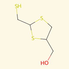 OCC1CSC(CS)S1